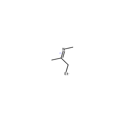 C[CH]C/C(C)=N\C